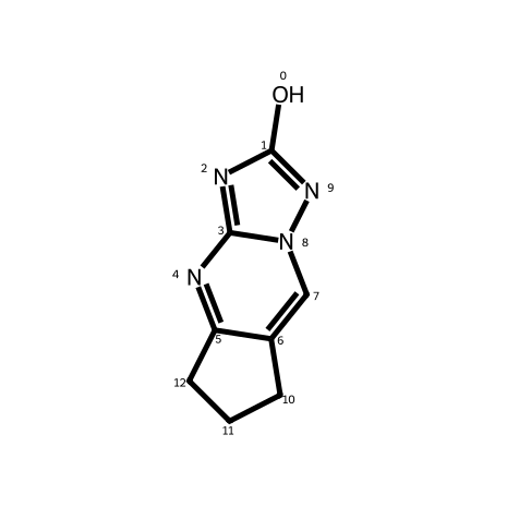 Oc1nc2nc3c(cn2n1)CCC3